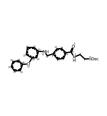 CCCCCCCCCCCCNC(=O)c1ccc(CNc2cccc(Oc3ccccc3)c2)cc1